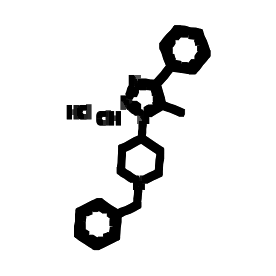 Cc1c(-c2ccccc2)nnn1C1CCN(Cc2ccccc2)CC1.Cl.Cl